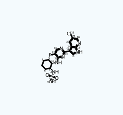 CCCS(=O)(=O)N[C@H]1CCCC[C@H]1Nc1nc(-c2c[nH]c3ncc(Cl)cc23)ncc1F